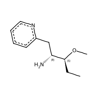 CC[C@H](OC)[C@H](N)Cc1ccccn1